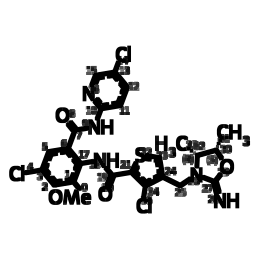 COc1cc(Cl)cc(C(=O)Nc2ccc(Cl)cn2)c1NC(=O)c1scc(CN2C(=N)O[C@@H](C)[C@H]2C)c1Cl